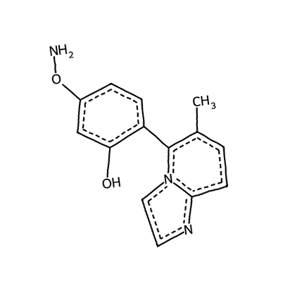 Cc1ccc2nccn2c1-c1ccc(ON)cc1O